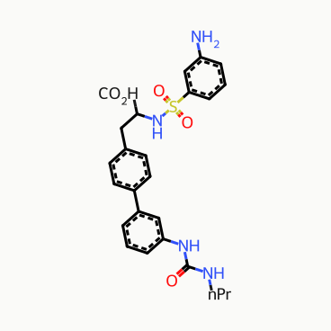 CCCNC(=O)Nc1cccc(-c2ccc(CC(NS(=O)(=O)c3cccc(N)c3)C(=O)O)cc2)c1